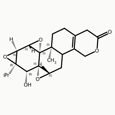 CC(C)[C@]12O[C@H]1[C@@H]1O[C@]13[C@]1(O[C@H]1CC1C4=C(CC[C@@]13C)CC(=O)OC4)[C@@H]2O